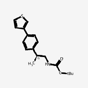 C[C@H](CNC(=O)OC(C)(C)C)c1ccc(-c2ccsc2)cc1